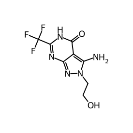 Nc1c2c(=O)[nH]c(C(F)(F)F)nc2nn1CCO